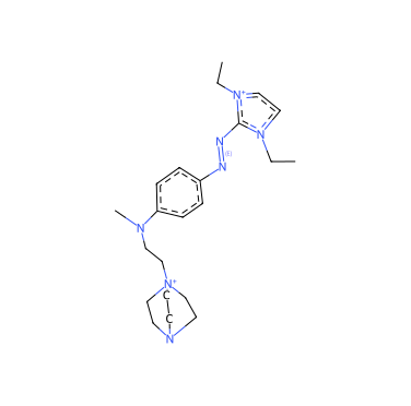 CCn1cc[n+](CC)c1/N=N/c1ccc(N(C)CC[N+]23CCN(CC2)CC3)cc1